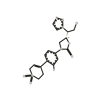 O=C1O[C@@H](C(CCl)n2ccnn2)CN1c1ccc(C2=CCS(=O)(=O)CC2)c(F)c1